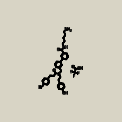 NCCCCCNC(=O)c1cccc(-c2cccc(CN(CCc3ccc(O)cc3)C(=O)C=Cc3ccc(Br)cc3)c2)c1.O=C(O)C(F)(F)F